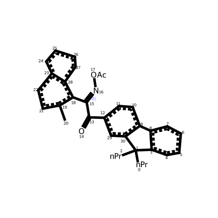 CCCC1(CCC)c2ccccc2-c2ccc(C(=O)/C(=N/OC(C)=O)c3c(C)ccc4ccccc34)cc21